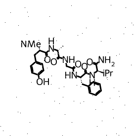 CN[C@@H](Cc1ccc(O)cc1)C(=O)N[C@H](C)C(=O)NCC(=O)N[C@@H](Cc1ccccc1)C(=O)N[C@@H](C(N)=O)C(C)C